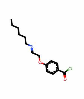 CCCCCCN=CCOc1ccc(C(=O)Cl)cc1